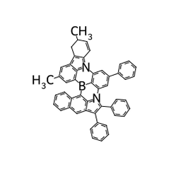 Cc1cc2c3c(c1)c1c(n3-c3cc(-c4ccccc4)cc4c3B2c2c3ccccc3cc3c(-c5ccccc5)c(-c5ccccc5)n-4c23)C=CC(C)C1